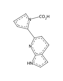 O=C(O)n1cccc1-c1ccc2cc[nH]c2n1